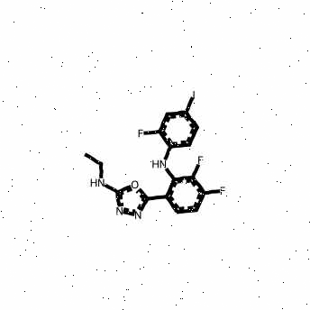 CCNc1nnc(-c2ccc(F)c(F)c2Nc2ccc(I)cc2F)o1